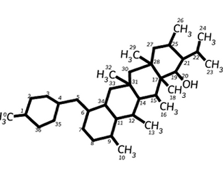 CC1CCC(CC2CCC(C)C3C(C)C4C(C)C5(C)C(O)C(C(C)C)C(C)CC5(C)CC4(C)CC23)CC1